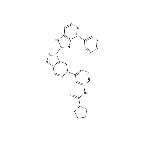 O=C(Nc1cncc(-c2cc3c(-c4nc5c(-c6ccncc6)nccc5[nH]4)n[nH]c3cn2)c1)C1CCCC1